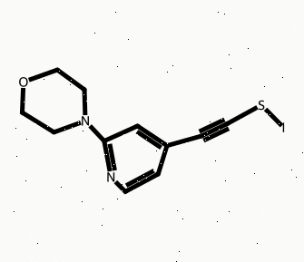 ISC#Cc1ccnc(N2CCOCC2)c1